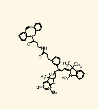 CCCC[n+]1cc(Cl)cc2c1N=C(/C=C/C(=C/C=C1\N(CCC)c3ccccc3C1(C)C)c1cccc(CCC(=O)NCCC(=O)N3Cc4ccccc4C#Cc4ccccc43)c1)C2(C)C